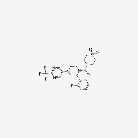 O=C(C1CCS(=O)(=O)CC1)N1CCN(c2cnc(C(F)(F)F)nc2)CC1c1ccccc1F